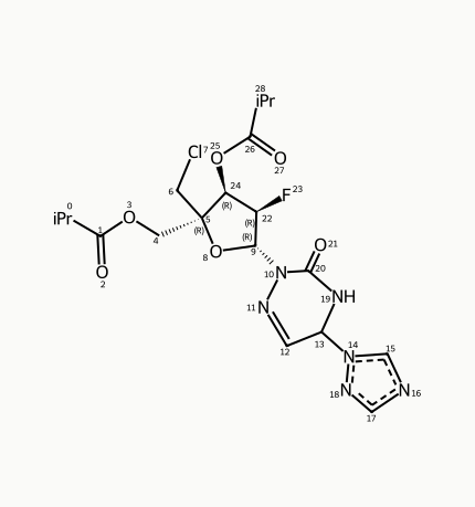 CC(C)C(=O)OC[C@@]1(CCl)O[C@@H](N2N=CC(n3cncn3)NC2=O)[C@H](F)[C@@H]1OC(=O)C(C)C